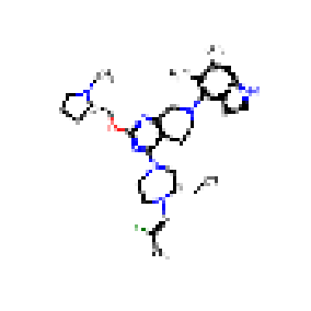 CC(F)=CN1CCN(c2nc(OC[C@@H]3CCCN3C)nc3c2CCN(c2c(C)c(C)cc4[nH]ccc24)C3)C[C@@H]1CC#N